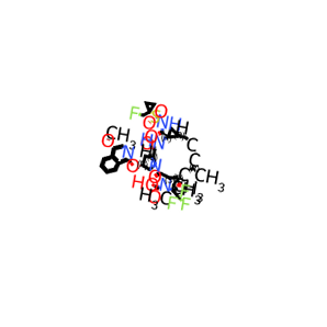 COc1cnc(O[C@@H]2C[C@H]3C(=O)N[C@]4(C(=O)NS(=O)(=O)C5(CF)CC5)C[C@H]4CCCC[C@@H](C)C[C@@H](C)[C@H](N(C(=O)O)C(C)(C)C(F)(F)F)C(=O)N3C2)c2ccccc12